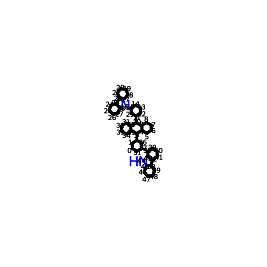 c1cc(-c2c3ccccc3c(-c3cccc(-n4c5ccccc5c5ccccc54)c3)c3ccccc23)cc(-c2cccc3c2[nH]c2ccccc23)c1